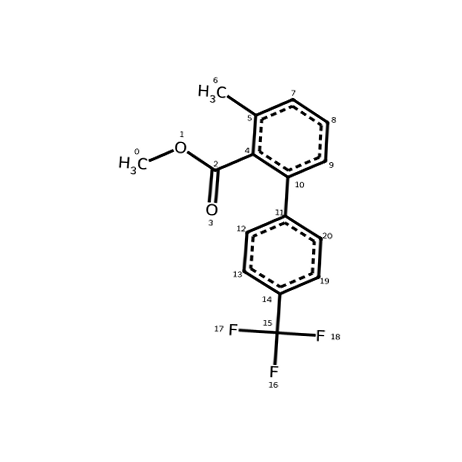 COC(=O)c1c(C)cccc1-c1ccc(C(F)(F)F)cc1